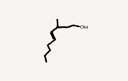 CCCCC=CC(C)CCO